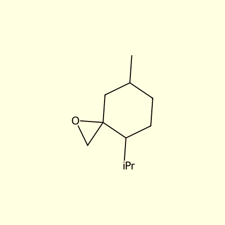 CC1CCC(C(C)C)C2(CO2)C1